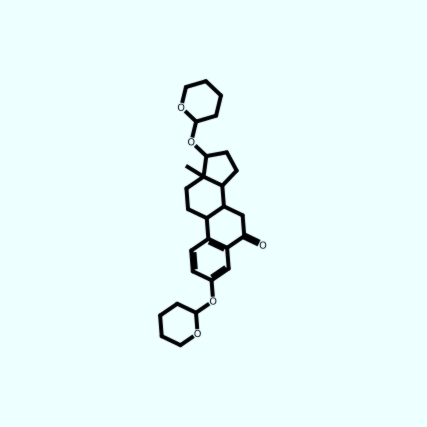 CC12CCC3c4ccc(OC5CCCCO5)cc4C(=O)CC3C1CCC2OC1CCCCO1